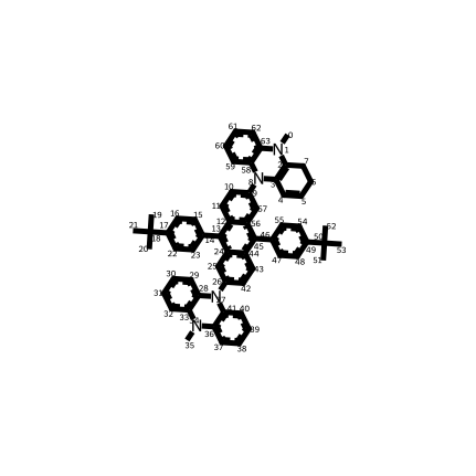 CN1C2=C(C=CCC2)N(c2ccc3c(-c4ccc(C(C)(C)C)cc4)c4cc(N5c6ccccc6N(C)c6ccccc65)ccc4c(-c4ccc(C(C)(C)C)cc4)c3c2)c2ccccc21